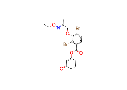 CCON=C(C)COc1c(Br)ccc(C(=O)OC2=CC(=O)CCC2)c1Br